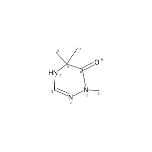 CN1N=CNC(C)(C)C1=O